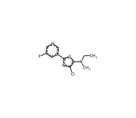 CCN(C)c1sc(-c2cncc(F)c2)nc1Cl